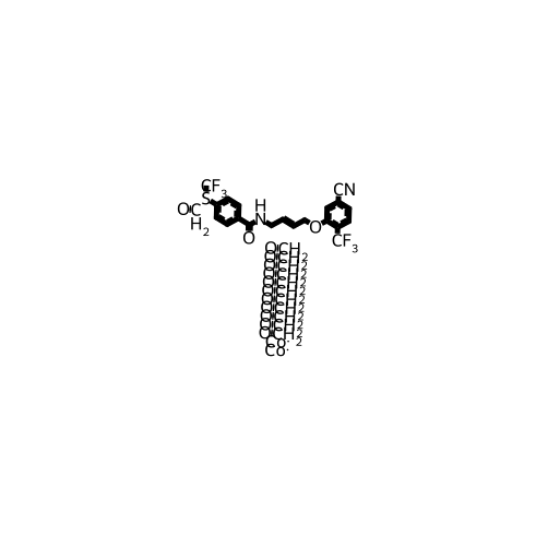 C=O.C=O.C=O.C=O.C=O.C=O.C=O.C=O.C=O.C=O.C=O.C=O.N#Cc1ccc(C(F)(F)F)c(OCC=CCNC(=O)c2ccc(SC(F)(F)F)cc2)c1.[Co].[Co]